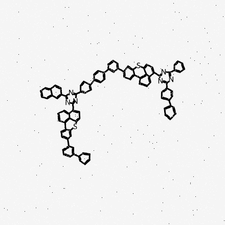 c1ccc(-c2ccc(-c3nc(-c4ccccc4)nc(-c4ccc5c6c(cccc46)-c4ccc(-c6cccc(-c7ccc(-c8ccc(-c9nc(-c%10ccc%11ccccc%11c%10)nc(-c%10ccc%11c%12c(cccc%10%12)-c%10ccc(-c%12cccc(-c%13ccccc%13)c%12)cc%10S%11)n9)cc8)cc7)c6)cc4S5)n3)cc2)cc1